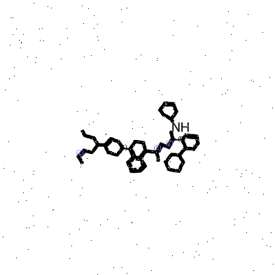 C/C=C\CC(CCC)C1=CC[C@@H](C2=c3ccccc3=C(/C(C)=C/C=C(\CNC3CC=CCC3)[C@H]3C=CCCC3C3CCCCC3)CC2)CC1